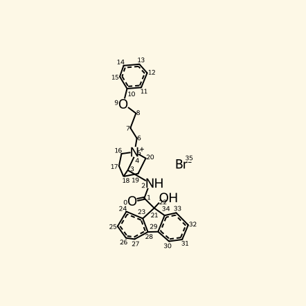 O=C(NC1C[N+]2(CCCOc3ccccc3)CCC1CC2)C1(O)c2ccccc2-c2ccccc21.[Br-]